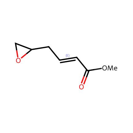 COC(=O)/C=C/CC1CO1